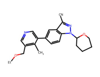 CCOCc1cncc(-c2ccc3c(c2)c(C#N)nn3C2CCCCO2)c1C